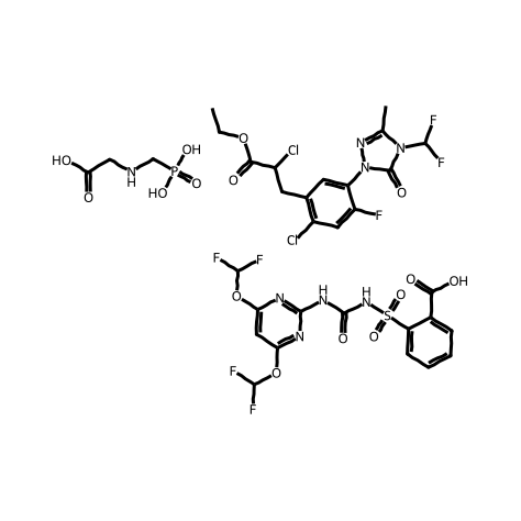 CCOC(=O)C(Cl)Cc1cc(-n2nc(C)n(C(F)F)c2=O)c(F)cc1Cl.O=C(Nc1nc(OC(F)F)cc(OC(F)F)n1)NS(=O)(=O)c1ccccc1C(=O)O.O=C(O)CNCP(=O)(O)O